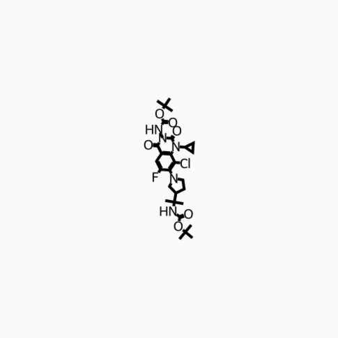 CC(C)(C)OC(=O)Nn1c(=O)c2cc(F)c(N3CCC(C(C)(C)NC(=O)OC(C)(C)C)C3)c(Cl)c2n(C2CC2)c1=O